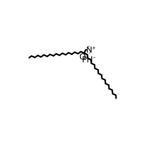 CCCCCCCCCCCCCCCCCCC(CCCCCCCCCCCCCCCCCC)(C[N+](C)(C)C)O[PH-]